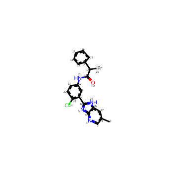 Cc1cnc2nc(-c3cc(NC(=O)C(c4ccccc4)C(C)C)ccc3Cl)[nH]c2c1